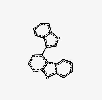 c1ccc2c(-c3cccc4oc5ccccc5c34)coc2c1